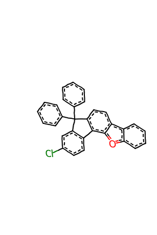 Clc1ccc2c(c1)C(c1ccccc1)(c1ccccc1)c1ccc3c(oc4ccccc43)c1-2